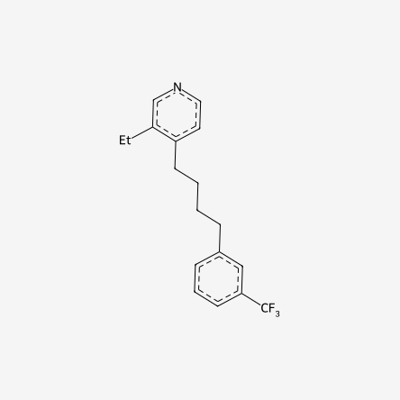 CCc1cnccc1CCCCc1cccc(C(F)(F)F)c1